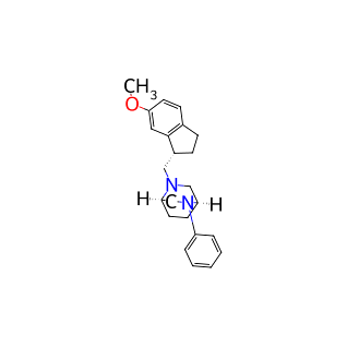 COc1ccc2c(c1)[C@@H](CN1C[C@H]3CC[C@@H]1CN3c1ccccc1)CC2